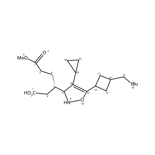 COC(=O)CC[C@@H](CC(=O)O)C1NOC(C2CC(CC(C)(C)C)C2)=C1C1CC1